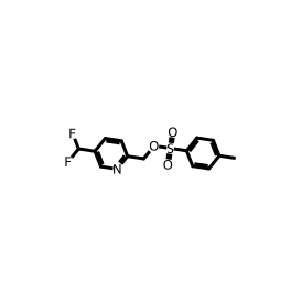 Cc1ccc(S(=O)(=O)OCc2ccc(C(F)F)cn2)cc1